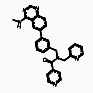 CNc1ncnc2ccc(-c3cccc(CN(Cc4ccccn4)C(=O)c4ccncc4)c3)cc12